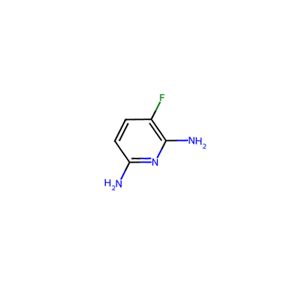 Nc1ccc(F)c(N)n1